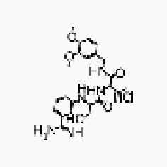 COc1ccc(CNC(=O)C(NC(=O)C(CO)Nc2cccc(C(=N)N)c2)C(C)C)cc1OC.Cl